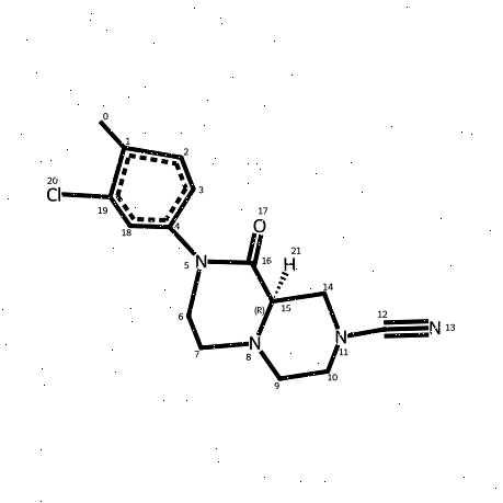 Cc1ccc(N2CCN3CCN(C#N)C[C@@H]3C2=O)cc1Cl